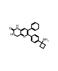 NC1(c2ccc(-c3nc4c(cc3C3=CCCC=C3)NC(=O)NC4)cc2)CCC1